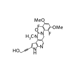 COc1cc(OC)c(F)c(N2Cc3cnc4[nH]c(C#CCO)cc4c3N(C)C2=O)c1F